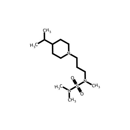 CC(C)C1CCN(CCCN(C)S(=O)(=O)N(C)C)CC1